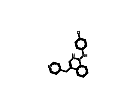 Clc1ccc(NN2NC=C(Cc3ccncc3)c3ccccc32)cc1